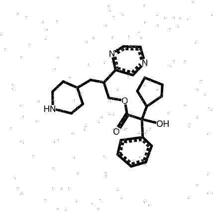 O=C(OCC(CC1CCNCC1)c1cnccn1)C(O)(c1ccccc1)C1CCCC1